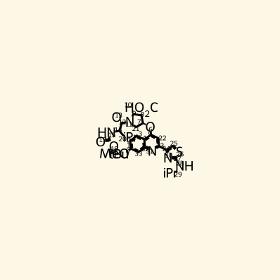 COc1ccc2c(O[C@@H]3C[C@@H](C(=O)O)N(C(=O)C(NC(=O)OC(C)(C)C)C(C)C)C3)cc(-c3csc(NC(C)C)n3)nc2c1